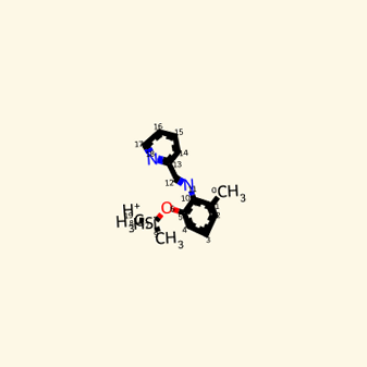 Cc1cccc(O[SiH](C)C)c1N=Cc1ccccn1.[H+]